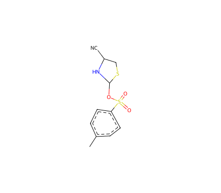 Cc1ccc(S(=O)(=O)OC2NC(C#N)CS2)cc1